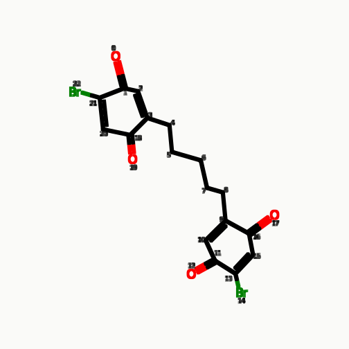 O=C1C=C(CCCCCC2=CC(=O)C(Br)=CC2=O)C(=O)C=C1Br